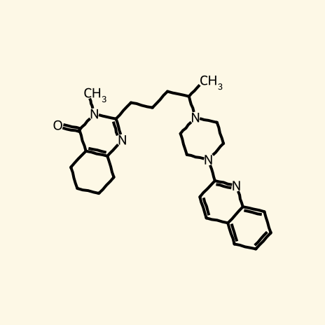 CC(CCCc1nc2c(c(=O)n1C)CCCC2)N1CCN(c2ccc3ccccc3n2)CC1